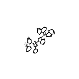 c1ccc(-c2nc(-c3ccc(N4c5c(ccc6ccccc56)-c5cccc6cccc4c56)c4ccccc34)nc(-c3cccc4oc5ccccc5c34)n2)cc1